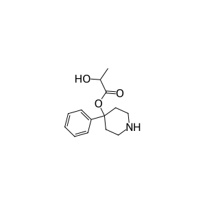 CC(O)C(=O)OC1(c2ccccc2)CCNCC1